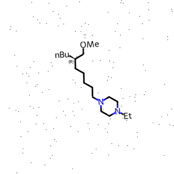 CCCC[C@H](CCCCCN1CCN(CC)CC1)COC